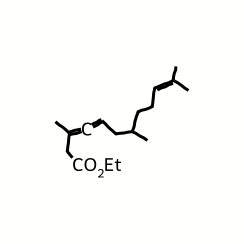 CCOC(=O)CC(C)=C=CCC(C)CCC=C(C)C